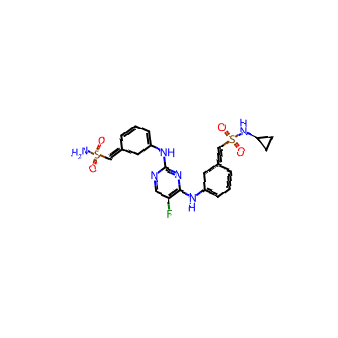 NS(=O)(=O)C=C1C=CC=C(Nc2ncc(F)c(NC3=CC=CC(=CS(=O)(=O)NC4CC4)C3)n2)C1